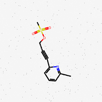 Cc1cccc(C#CCOS(C)(=O)=O)n1